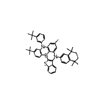 Cc1cc2c3c(c1)N(c1ccc4c(c1)C(C)(C)CCC4(C)C)c1c(sc4ccccc14)B3c1ccc(C(C)(C)C)cc1N2c1cccc(C(C)(C)C)c1